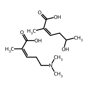 CC(=CCC(C)O)C(=O)O.CC(=CCCN(C)C)C(=O)O